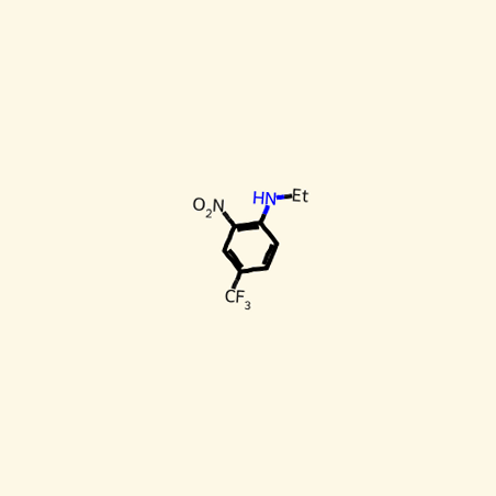 CCNc1ccc(C(F)(F)F)cc1[N+](=O)[O-]